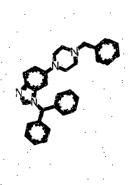 c1ccc(CN2CCN(c3ccc4ncn(C(c5ccccc5)c5ccccc5)c4c3)CC2)cc1